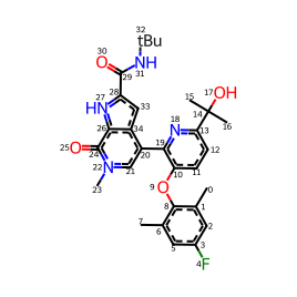 Cc1cc(F)cc(C)c1Oc1ccc(C(C)(C)O)nc1-c1cn(C)c(=O)c2[nH]c(C(=O)NC(C)(C)C)cc12